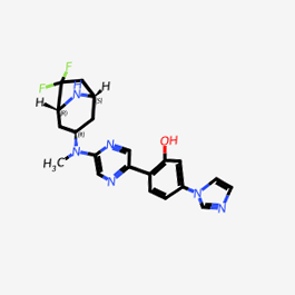 CN(c1cnc(-c2ccc(-n3ccnc3)cc2O)cn1)[C@@H]1C[C@H]2CC(F)(F)[C@@H](C1)N2